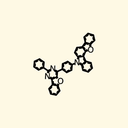 c1ccc(-c2nc(-c3ccc(-n4c5ccccc5c5c6oc7ccccc7c6ccc54)cc3)c3oc4ccccc4c3n2)cc1